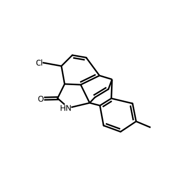 Cc1ccc2c(c1)C1C=CC23NC(=O)C2C3=C1C=CC2Cl